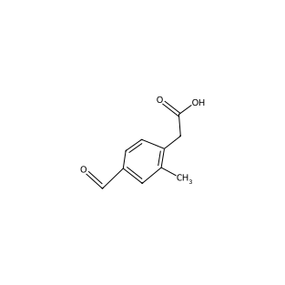 Cc1cc(C=O)ccc1CC(=O)O